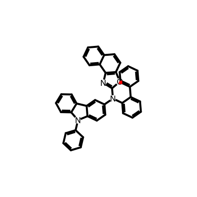 c1ccc(-c2ccccc2N(c2ccc3c(c2)c2ccccc2n3-c2ccccc2)c2nc3c(ccc4ccccc43)o2)cc1